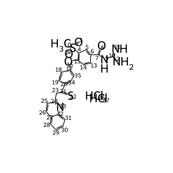 CS(=O)(=O)c1cc(C(=O)NC(=N)N)ccc1Oc1ccc(C(=S)Cc2ccc3ccccc3n2)cc1.Cl.Cl